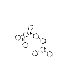 c1ccc(-c2cc(-c3ccccc3)nc(-c3cccc(-c4ccc(-n5c6ccccc6c6cc7c8ccccc8n(-c8ccccc8)c7cc65)cc4)c3)c2)cc1